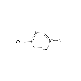 [O-][n+]1ccc(Cl)nc1